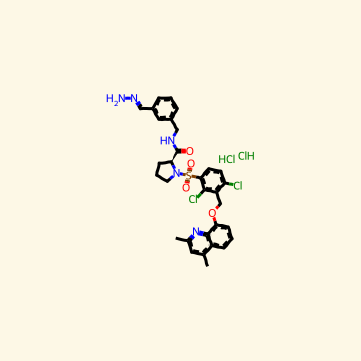 Cc1cc(C)c2cccc(OCc3c(Cl)ccc(S(=O)(=O)N4CCC[C@H]4C(=O)NCc4cccc(C=NN)c4)c3Cl)c2n1.Cl.Cl